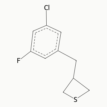 Fc1cc(Cl)cc(CC2CSC2)c1